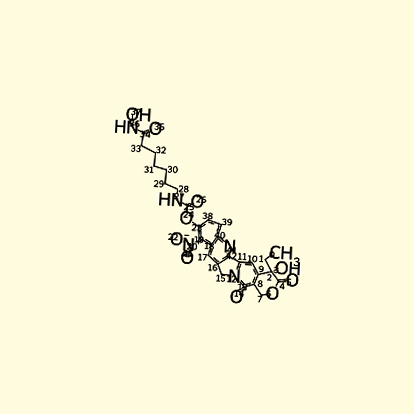 CC[C@@]1(O)C(=O)OCc2c1cc1n(c2=O)Cc2cc3c([N+](=O)[O-])c(OC(=O)NCCCCCCC(=O)NO)ccc3nc2-1